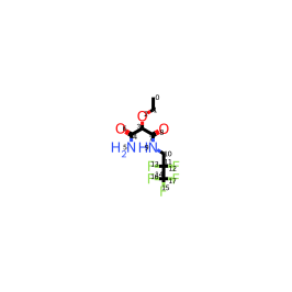 CCOC(C(N)=O)C(=O)NCC(F)(F)C(F)(F)F